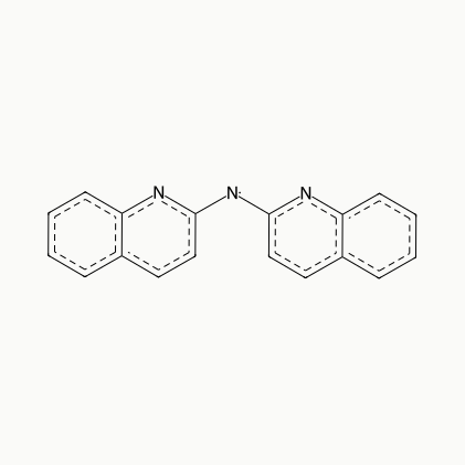 c1ccc2nc([N]c3ccc4ccccc4n3)ccc2c1